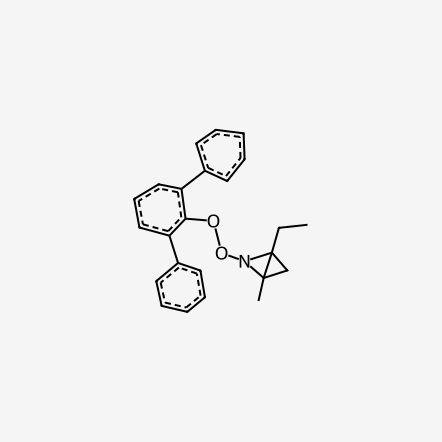 CCC12CC1(C)N2OOc1c(-c2ccccc2)cccc1-c1ccccc1